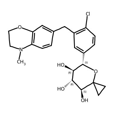 CN1CCOc2cc(Cc3cc([C@@H]4OC5(CC5)[C@@H](O)[C@H](O)[C@H]4O)ccc3Cl)ccc21